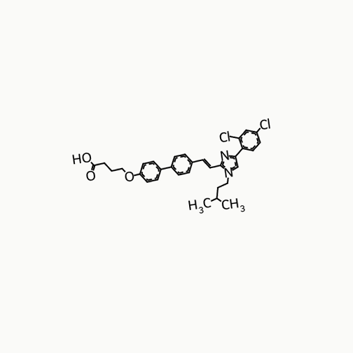 CC(C)CCn1cc(-c2ccc(Cl)cc2Cl)nc1C=Cc1ccc(-c2ccc(OCCCC(=O)O)cc2)cc1